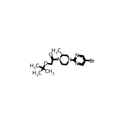 C[C@@H]1CN(c2ncc(Br)cn2)CCN1C(=O)COC(C)(C)C